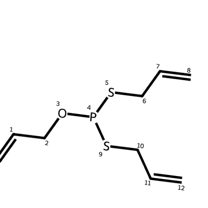 C=CCOP(SCC=C)SCC=C